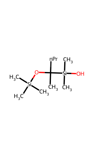 CCCC(C)(O[Si](C)(C)C)[Si](C)(C)O